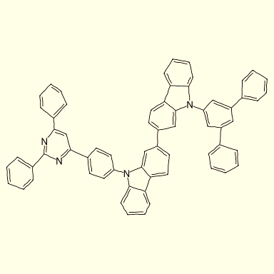 c1ccc(-c2cc(-c3ccccc3)cc(-n3c4ccccc4c4ccc(-c5ccc6c7ccccc7n(-c7ccc(-c8cc(-c9ccccc9)nc(-c9ccccc9)n8)cc7)c6c5)cc43)c2)cc1